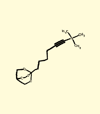 C[Si](C)(C)C#CCCCCC12OCC(CO1)CO2